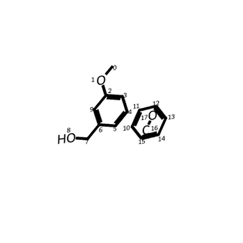 COc1cccc(CO)c1.c1cc2ccc1CO2